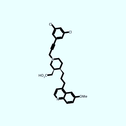 COc1ccc2nccc(CCC[C@@H]3CCN(CC#Cc4cc(Cl)cc(Cl)c4)C[C@@H]3CC(=O)O)c2c1